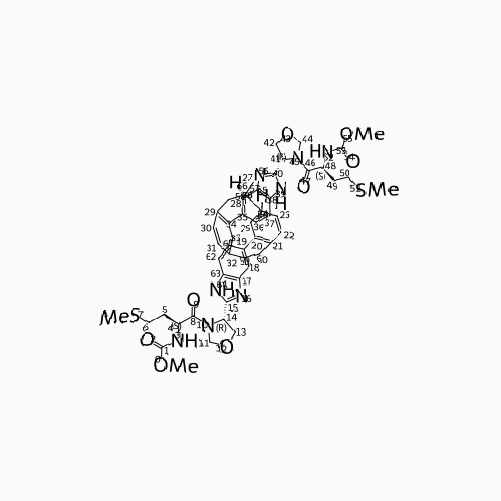 COC(=O)N[C@@H](CCSC)C(=O)N1COC[C@H]1c1nc2cc(C3=C4C=C[C@H](C3)[C@H](C)Cc3ccc(cc3-c3ccc5[nH]c([C@@H]6COCN6C(=O)[C@H](CCSC)NC(=O)OC)nc5c3)CC4)ccc2[nH]1